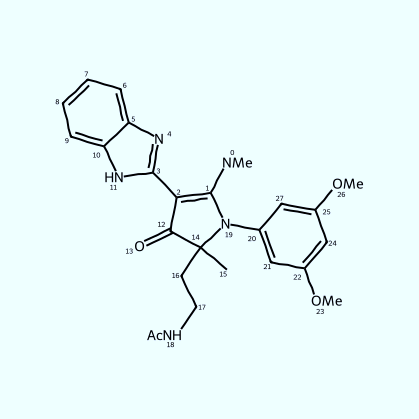 CNC1=C(c2nc3ccccc3[nH]2)C(=O)C(C)(CCNC(C)=O)N1c1cc(OC)cc(OC)c1